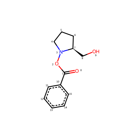 O=C(ON1CCC[C@H]1CO)c1ccccc1